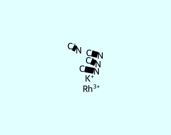 [C-]#N.[C-]#N.[C-]#N.[C-]#N.[K+].[Rh+3]